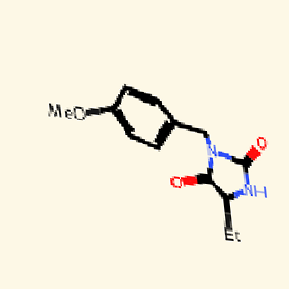 CCC1NC(=O)N(Cc2ccc(OC)cc2)C1=O